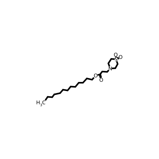 CCCCCCCCCCCCCOC(=O)CCN1CCS(=O)(=O)CC1